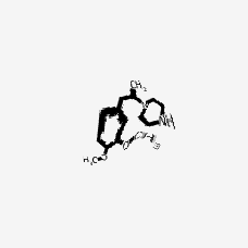 C=C(Cc1ccc(OC)c(OC)c1)N1CCNCC1